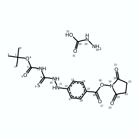 CC(C)(C)OC(=O)NC(=S)NNc1ccc(C(=O)ON2C(=O)CCC2=O)cc1.NNC(=O)O